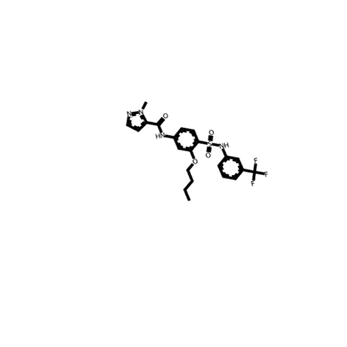 CCCCOc1cc(NC(=O)c2ccnn2C)ccc1S(=O)(=O)Nc1cccc(C(F)(F)F)c1